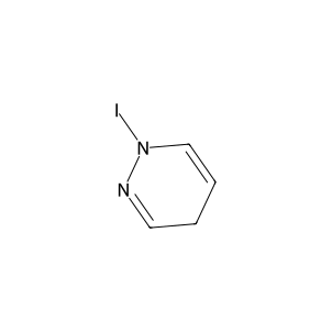 IN1C=CCC=N1